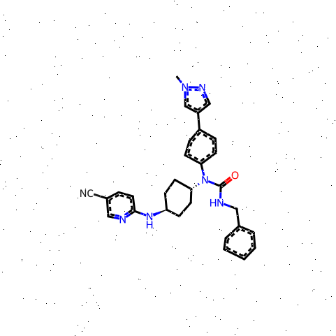 Cn1cc(-c2ccc(N(C(=O)NCc3ccccc3)[C@H]3CC[C@H](Nc4ccc(C#N)cn4)CC3)cc2)cn1